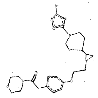 CC(C)c1noc(N2CCC([C@H]3C[C@H]3CCOc3ccc(CC(=O)N4CCOCC4)cc3)CC2)n1